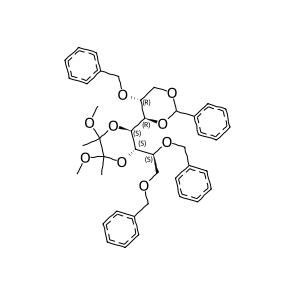 COC1(C)O[C@@H]([C@@H]2OC(c3ccccc3)OC[C@H]2OCc2ccccc2)[C@H]([C@H](COCc2ccccc2)OCc2ccccc2)OC1(C)OC